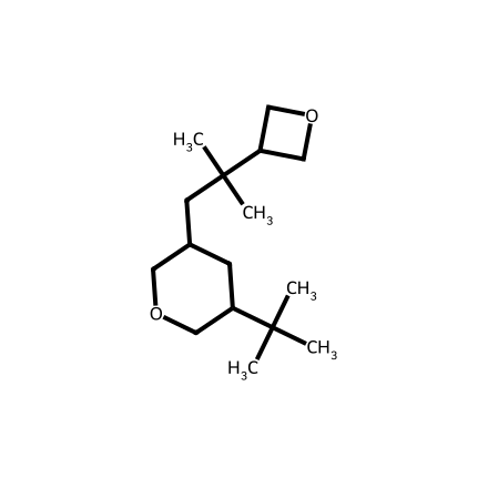 CC(C)(C)C1COCC(CC(C)(C)C2COC2)C1